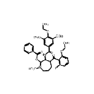 COCOc1cccc(F)c1C(=O)C1CCCN(C(=O)O)C(OC(=O)c2ccccc2)C1NC(=O)c1cc(OC)c(OCOC)c(OC)c1